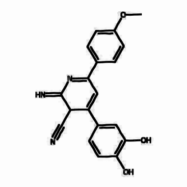 COc1ccc(C2=NC(=N)C(C#N)C(c3ccc(O)c(O)c3)=C2)cc1